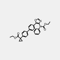 CCOC(=O)N(c1ccccc1)c1ncoc1-c1ccc(-c2ccc(C3(C(=O)OCC)CC3)cc2)cc1